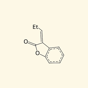 CCC=C1C(=O)Oc2ccccc21